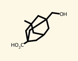 CC12CC3CC(CO)(C1)CC(C(=O)O)(C3)C2